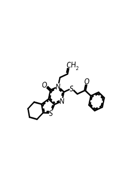 C=CCn1c(SCC(=O)c2ccccc2)nc2sc3c(c2c1=O)CCCC3